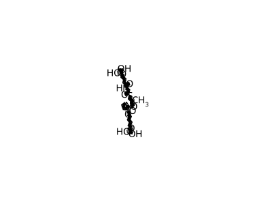 C[C@H](CSC(=O)CNC(=O)CCCON(O)O)C(=O)N1CCC[C@H]1C(=O)OCCCCON(O)O